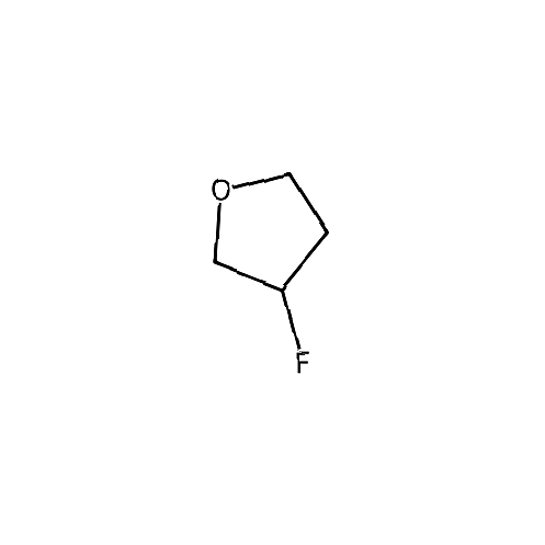 FC1CCOC1